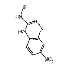 CC(C)NC1=NSc2cc([N+](=O)[O-])ccc2N1